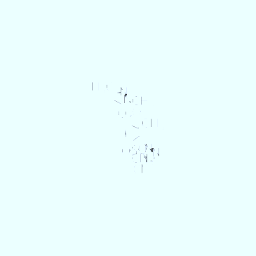 Cc1cc(OC(=O)c2ccc(S(C)(=O)=O)c(Cn3cc(Cl)cn3)c2C)n(C)n1